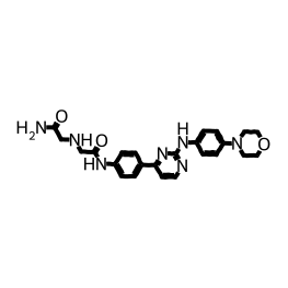 NC(=O)CNCC(=O)Nc1ccc(-c2ccnc(Nc3ccc(N4CCOCC4)cc3)n2)cc1